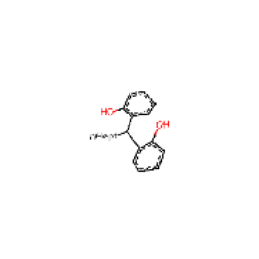 CCCCCCCC(c1ccccc1O)c1ccccc1O